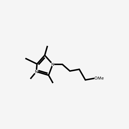 COCCCCn1c(C)c(C)[n+](C)c1C